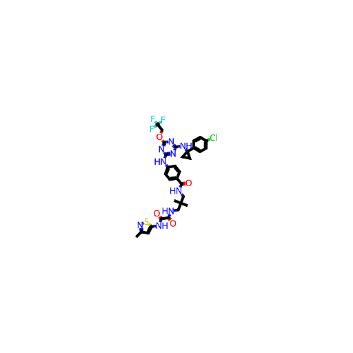 Cc1cc(NC(=O)C(=O)NCC(C)(C)CNC(=O)c2ccc(Nc3nc(NC4(c5ccc(Cl)cc5)CC4)nc(OCC(F)(F)F)n3)cc2)sn1